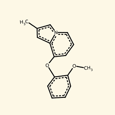 COc1ccccc1Oc1cccn2cc(C)cc12